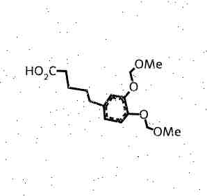 COCOc1ccc(CCCCC(=O)O)cc1OCOC